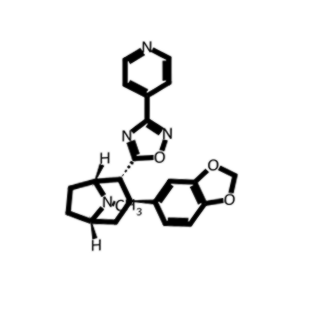 CN1[C@H]2CC[C@@H]1[C@H](c1nc(-c3ccncc3)no1)[C@@H](c1ccc3c(c1)OCO3)C2